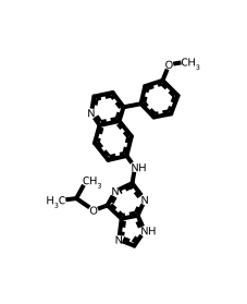 COc1cccc(-c2ccnc3ccc(Nc4nc(OC(C)C)c5nc[nH]c5n4)cc23)c1